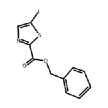 O=C(OCc1ccccc1)c1ncc(I)s1